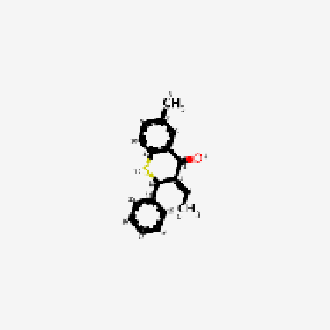 CC=C1C(=O)c2cc(C)ccc2SC1c1ccccc1